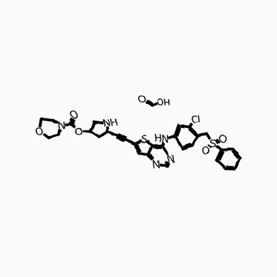 O=C(OC1CNC(C#Cc2cc3ncnc(Nc4ccc(CS(=O)(=O)c5ccccc5)c(Cl)c4)c3s2)C1)N1CCOCC1.O=CO